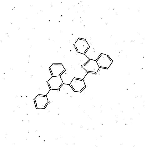 c1ccc(-c2nc(-c3cccc(-c4nc(-c5cccnc5)c5ccccc5n4)c3)c3ccccc3n2)nc1